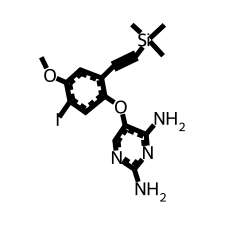 COc1cc(C#C[Si](C)(C)C)c(Oc2cnc(N)nc2N)cc1I